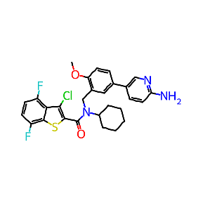 COc1ccc(-c2ccc(N)nc2)cc1CN(C(=O)c1sc2c(F)ccc(F)c2c1Cl)C1CCCCC1